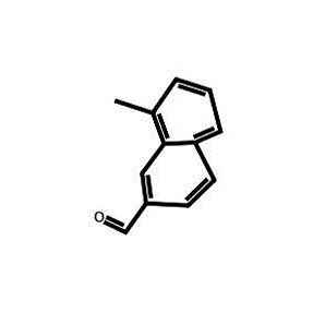 Cc1cccc2ccc(C=O)cc12